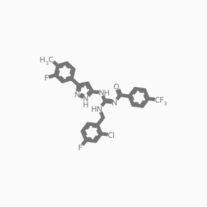 Cc1ccc(-c2cc(N/C(=N\C(=O)c3ccc(C(F)(F)F)cc3)NCc3ccc(F)cc3Cl)[nH]n2)cc1F